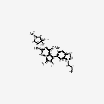 [2H]c1c(F)c(-c2ccc3nnn(CCF)c3c2)c2c(OC)nc(N[C@@H]3CN(C(C)=O)CC3(F)F)nn12